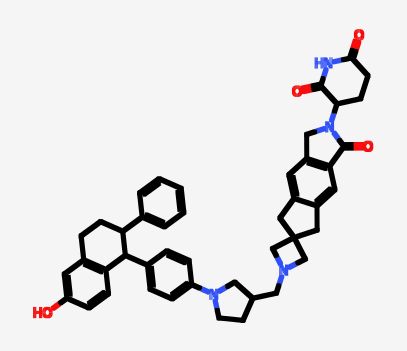 O=C1CCC(N2Cc3cc4c(cc3C2=O)CC2(C4)CN(CC3CCN(c4ccc(C5c6ccc(O)cc6CCC5c5ccccc5)cc4)C3)C2)C(=O)N1